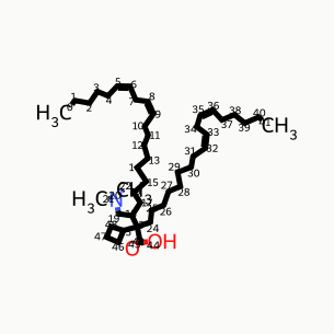 CCCCC/C=C\C/C=C\CCCCCCCCC(CN(C)C)C(CCCCCCCC/C=C\C/C=C\CCCCC)(C(=O)O)C1CCC1